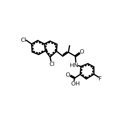 C/C(=C\c1ccc2cc(Cl)ccc2c1Cl)C(=O)Nc1ccc(F)cc1C(=O)O